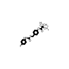 CC(C)(C)C(=O)Oc1ccc(CSC(=O)Nc2ccc(F)cc2)cc1